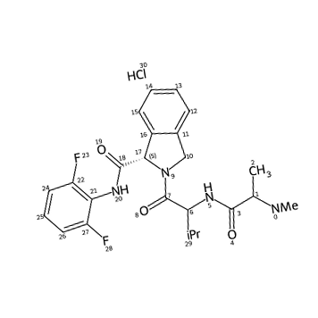 CNC(C)C(=O)NC(C(=O)N1Cc2ccccc2[C@H]1C(=O)Nc1c(F)cccc1F)C(C)C.Cl